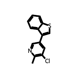 Cc1ncc(-c2csc3ccccc23)cc1Cl